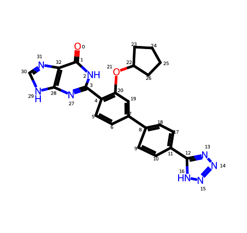 O=c1[nH]c(-c2ccc(-c3ccc(-c4nnn[nH]4)cc3)cc2OC2CCCC2)nc2[nH]cnc12